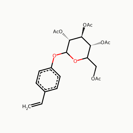 C=Cc1ccc(OC2OC(COC(C)=O)[C@@H](OC(C)=O)[C@H](OC(C)=O)[C@H]2OC(C)=O)cc1